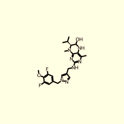 COc1c(F)cc(Cn2cc(CNc3nc(C)c4c(n3)N(C)[C@@H](C(C)C)C(O)N4)cn2)cc1F